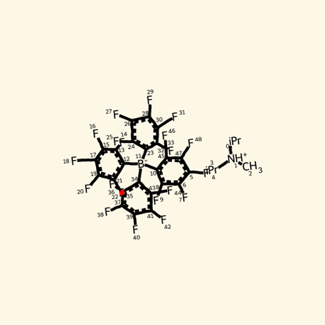 CC(C)[NH+](C)C(C)C.Fc1c(F)c(F)c([B-](c2c(F)c(F)c(F)c(F)c2F)(c2c(F)c(F)c(F)c(F)c2F)c2c(F)c(F)c(F)c(F)c2F)c(F)c1F